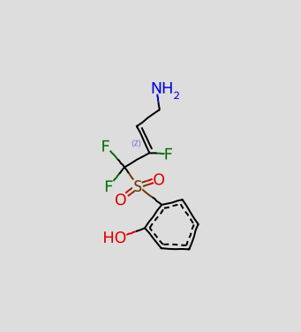 NC/C=C(\F)C(F)(F)S(=O)(=O)c1ccccc1O